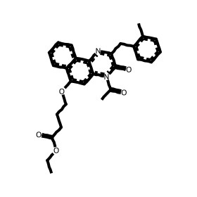 CCOC(=O)CCCOc1cc2c(nc(Cc3ccccc3C)c(=O)n2C(C)=O)c2ccccc12